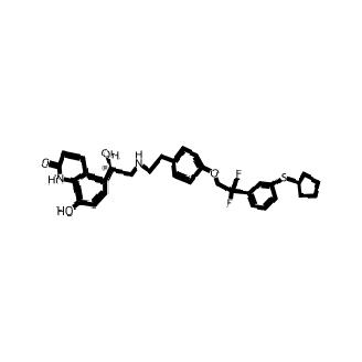 O=c1ccc2c([C@@H](O)CNCCc3ccc(OCC(F)(F)c4cccc(SC5CCCC5)c4)cc3)ccc(O)c2[nH]1